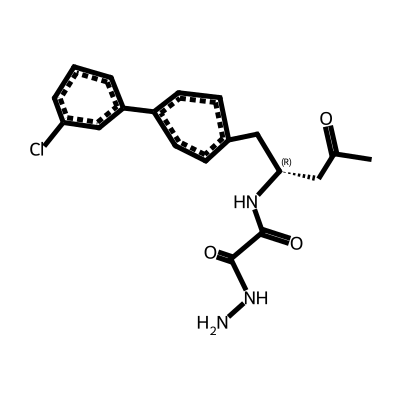 CC(=O)C[C@@H](Cc1ccc(-c2cccc(Cl)c2)cc1)NC(=O)C(=O)NN